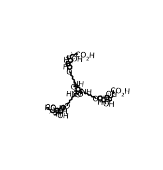 C[C@H](CCC(=O)O)[C@H]1CC[C@H]2[C@H]3C(C[C@H](O)[C@]12C)[C@@]1(C)CC[C@H](OCCCCCCNC(=O)C2(C)CC(C)(C(=O)NCCCCCCO[C@H]4CC[C@@]5(C)[C@@H](C4)C[C@@H](O)[C@@H]4[C@@H]5C[C@H](O)[C@]5(C)[C@@H]([C@H](C)CCC(=O)O)CC[C@@H]45)CC(C)(C(=O)NCCCCCCO[C@H]4CC[C@]5(C)C6C[C@H](O)[C@]7(C)[C@@H]([C@H](C)CCC(=O)O)CC[C@H]7[C@@H]6CC[C@@H]5C4)C2)C[C@H]1C[C@H]3O